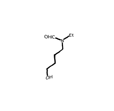 CCN(C=O)CCCCO